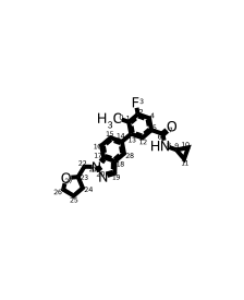 Cc1c(F)cc(C(=O)NC2CC2)cc1-c1ccc2c(cnn2CC2CCCO2)c1